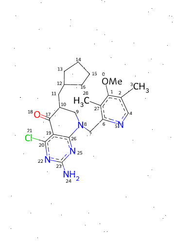 COc1c(C)cnc(CN2CC(CC3CCCC3)C(=O)c3c(Cl)nc(N)nc32)c1C